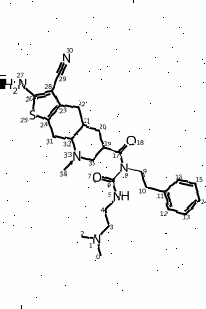 CN(C)CCNC(=O)N(CCc1ccccc1)C(=O)C1CC2Cc3c(sc(N)c3C#N)CC2N(C)C1